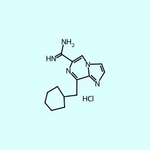 Cl.N=C(N)c1cn2ccnc2c(CC2CCCCC2)n1